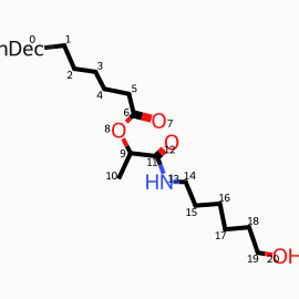 CCCCCCCCCCCCCCCC(=O)OC(C)C(=O)NCCCCCCO